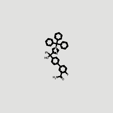 CC(C)C(O)(c1ccc(-c2ccc(F)c(C(N)=O)c2)cc1)c1cn(C(c2ccccc2)(c2ccccc2)c2ccccc2)cn1